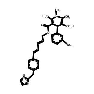 CC1=C(C(=O)O)C(c2cccc([N+](=O)[O-])c2)C(C(=O)OCC=CC=Cc2ccc(Cc3ncc[nH]3)cc2)=C(C)N1C